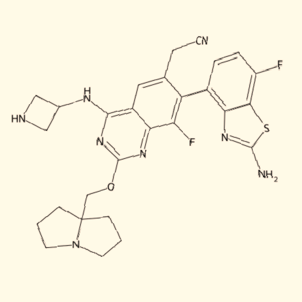 N#CCc1cc2c(NC3CNC3)nc(OCC34CCCN3CCC4)nc2c(F)c1-c1ccc(F)c2sc(N)nc12